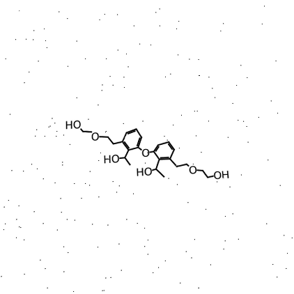 CC(O)c1c(CCOCCO)cccc1Oc1cccc(CCOCCO)c1C(C)O